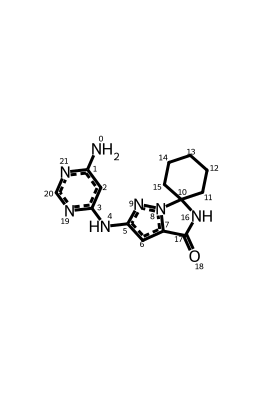 Nc1cc(Nc2cc3n(n2)C2(CCCCC2)NC3=O)ncn1